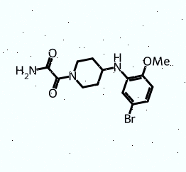 COc1ccc(Br)cc1NC1CCN(C(=O)C(N)=O)CC1